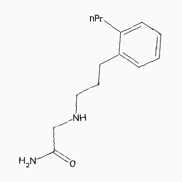 CCCc1ccccc1CCCNCC(N)=O